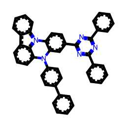 c1ccc(-c2ccc(N3c4cc(-c5nc(-c6ccccc6)nc(-c6ccccc6)n5)ccc4-n4c5ccccc5c5cccc3c54)cc2)cc1